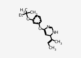 C/C=C(\C)C1C=C(Oc2cccc(OC(C)(C)CC)c2)N=CN1